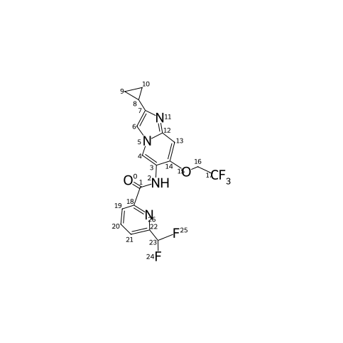 O=C(Nc1cn2cc(C3CC3)nc2cc1OCC(F)(F)F)c1cccc(C(F)F)n1